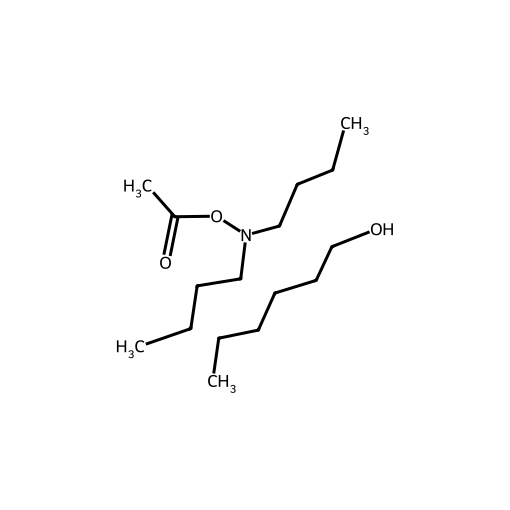 CCCCCCO.CCCCN(CCCC)OC(C)=O